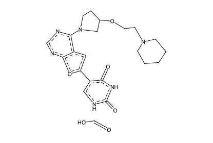 O=CO.O=c1[nH]cc(-c2cc3c(N4CCC(OCCN5CCCCC5)C4)ncnc3o2)c(=O)[nH]1